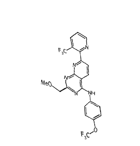 COCc1nc(Nc2ccc(OC(F)(F)F)cc2)c2ccc(-c3ncccc3C(F)(F)F)nc2n1